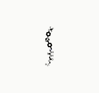 CCOC(=O)CNC(=S)N/N=C/c1ccc(-c2ncn(-c3ccc(OC(F)(F)F)cc3)n2)cc1